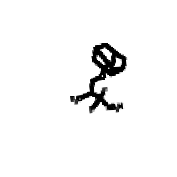 O=S(=O)(O)C(F)(F)C(COC12CC3CC(CC(C3)C1)C2)C(F)(F)F